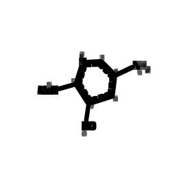 CNc1ncc(N)cc1N=O